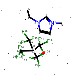 CCn1cc[n+](C)c1.FC(F)(F)[B-](C(F)(F)F)(C(F)(F)F)C(F)(F)F